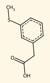 CSc1cccc(CC(=O)O)c1